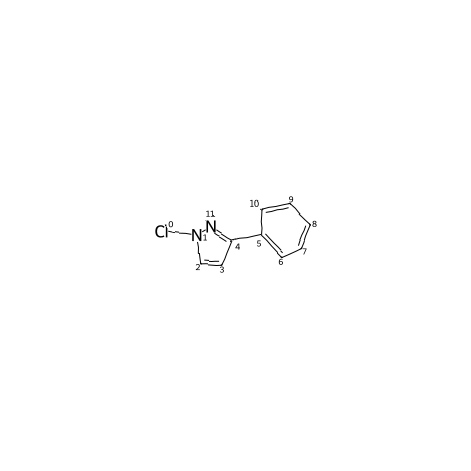 Cln1ccc(-c2ccccc2)n1